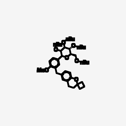 CCCCOC[C@H]1OC(c2ccc(OC)c(Cc3ccc4c(c3)CCC3(CCC3)O4)c2)C(OCCCC)C(OCCCC)[C@@H]1OCCCC